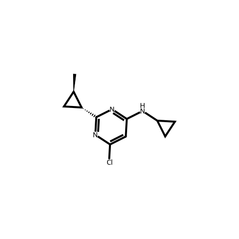 C[C@@H]1C[C@H]1c1nc(Cl)cc(NC2CC2)n1